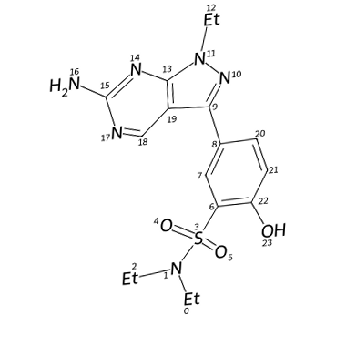 CCN(CC)S(=O)(=O)c1cc(-c2nn(CC)c3nc(N)ncc23)ccc1O